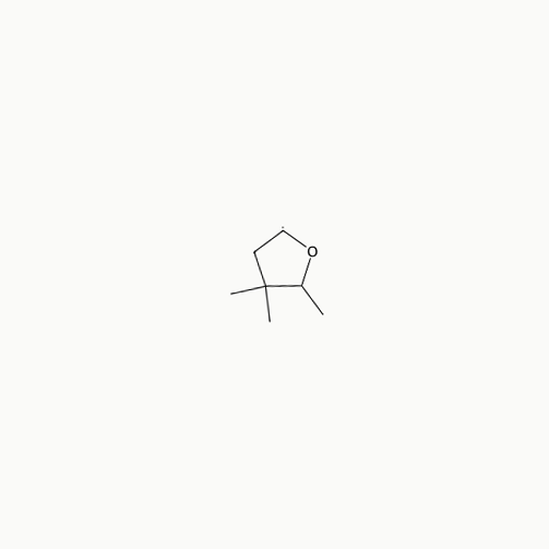 CC1O[CH]CC1(C)C